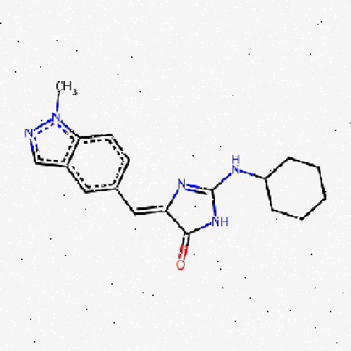 Cn1ncc2cc(/C=C3\N=C(NC4CCCCC4)NC3=O)ccc21